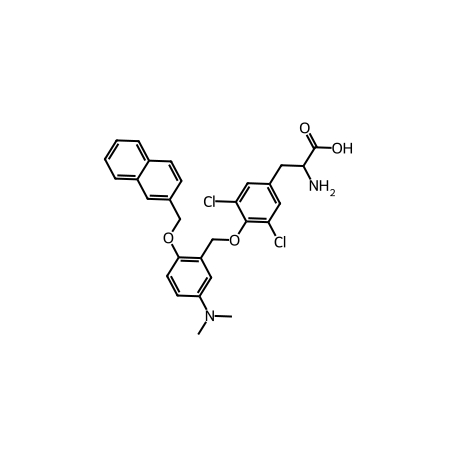 CN(C)c1ccc(OCc2ccc3ccccc3c2)c(COc2c(Cl)cc(CC(N)C(=O)O)cc2Cl)c1